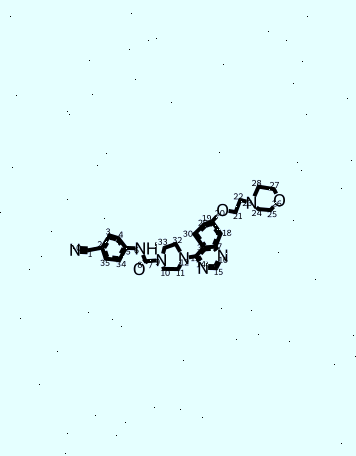 N#Cc1ccc(NC(=O)N2CCN(c3ncnc4cc(OCCN5CCOCC5)ccc34)CC2)cc1